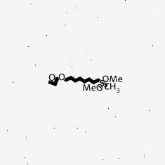 CO[Si](C)(CCCCCCCCOC1CCO1)OC